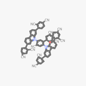 N#Cc1cc(C#N)cc(-c2cc(-n3c4cc(-c5ccc(C#N)cc5C#N)ccc4c4ccc(-c5ccc(C#N)cc5C#N)cc43)c(C#N)cc2-n2c3cc(-c4ccc(C#N)cc4C#N)ccc3c3ccc(-c4ccc(C#N)cc4C#N)cc32)c1